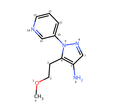 COCCc1c(N)cnn1-c1cccnc1